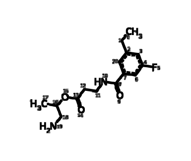 CCc1cc(F)cc(C(=O)NCCC(=O)OC(C)CN)c1